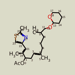 CC(=O)OC(CC=C(C)CCCC(C)COC1CCCCO1)C(C)=Cc1csc(C)n1